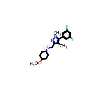 COC1CCC(NCc2nn(C)c(-c3cc(F)cc(F)c3)c2C)CC1